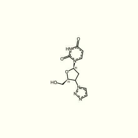 O=c1ccn([C@H]2CC(n3ccnn3)[C@@H](CO)O2)c(=O)[nH]1